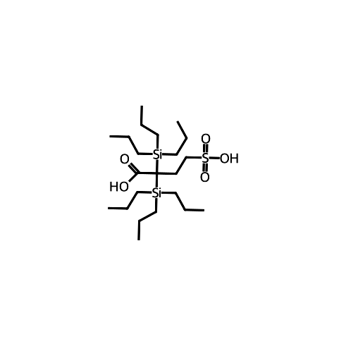 CCC[Si](CCC)(CCC)C(CCS(=O)(=O)O)(C(=O)O)[Si](CCC)(CCC)CCC